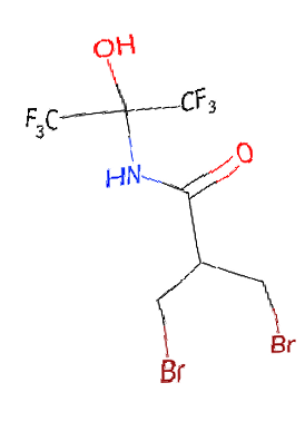 O=C(NC(O)(C(F)(F)F)C(F)(F)F)C(CBr)CBr